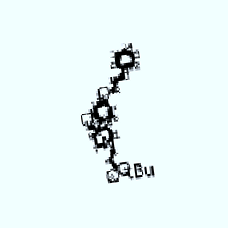 CC(C)(C)OC(=O)CCN1CCC2(CC1)COc1cc(OCC=Cc3ccccc3)ccc12